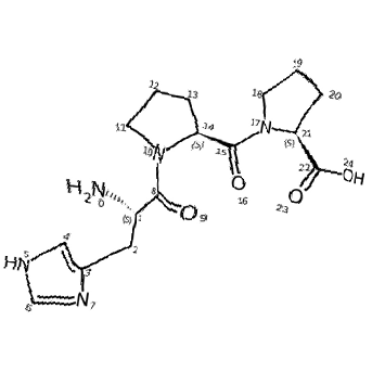 N[C@@H](Cc1c[nH]cn1)C(=O)N1CCC[C@H]1C(=O)N1CCC[C@H]1C(=O)O